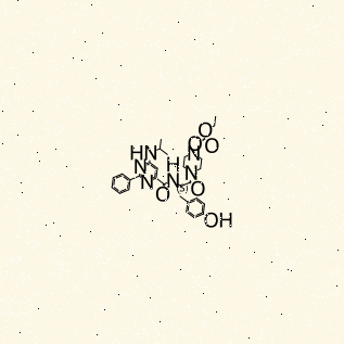 CCOC(=O)ON1CCN(C(=O)[C@H](Cc2ccc(O)cc2)NC(=O)c2cc(NC(C)C)nc(-c3ccccc3)n2)CC1